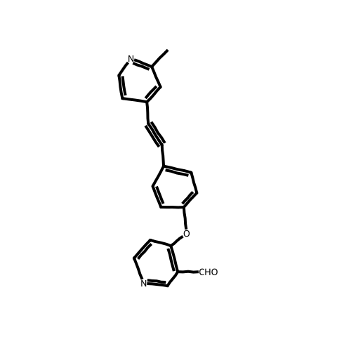 Cc1cc(C#Cc2ccc(Oc3ccncc3C=O)cc2)ccn1